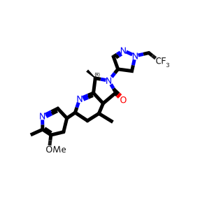 COC1=C(C)N=CC(C2CC(C)C3C(=O)N(C4C=NN(CC(F)(F)F)C4)[C@H](C)C3=N2)C1